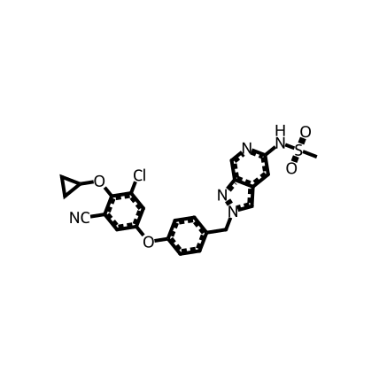 CS(=O)(=O)Nc1cc2cn(Cc3ccc(Oc4cc(Cl)c(OC5CC5)c(C#N)c4)cc3)nc2cn1